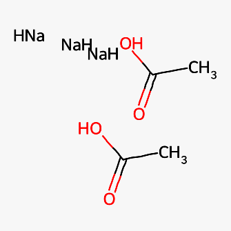 CC(=O)O.CC(=O)O.[NaH].[NaH].[NaH]